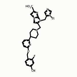 CCn1cncc1Cn1c(CN2CCC(c3cccc(OCc4ccc(C#N)cc4F)n3)CC2)cn2cc(C(=O)O)nc12